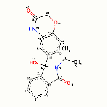 CC(C)N1C(=O)c2ccccc2C1(O)c1ccc2c(c1)NC(=O)CO2